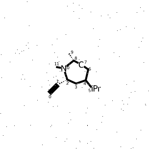 C#C[C@H]1CC(C(C)C)CC[C@@H](C)N1C